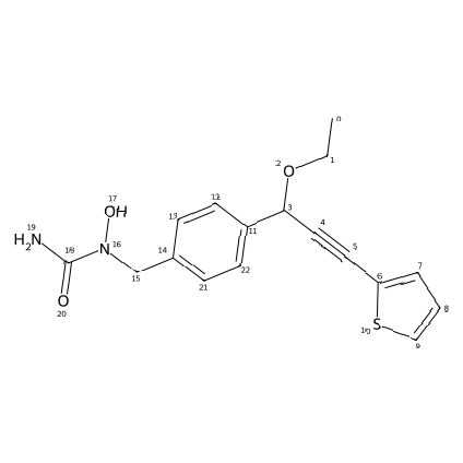 CCOC(C#Cc1cccs1)c1ccc(CN(O)C(N)=O)cc1